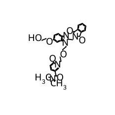 CN(C)C(=O)c1ccc(=O)n(CCOCCn2c(CN3C(=O)c4ccccc4C3=O)nc3ccc(OCCO)cc32)c1